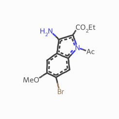 CCOC(=O)c1c(N)c2cc(OC)c(Br)cc2n1C(C)=O